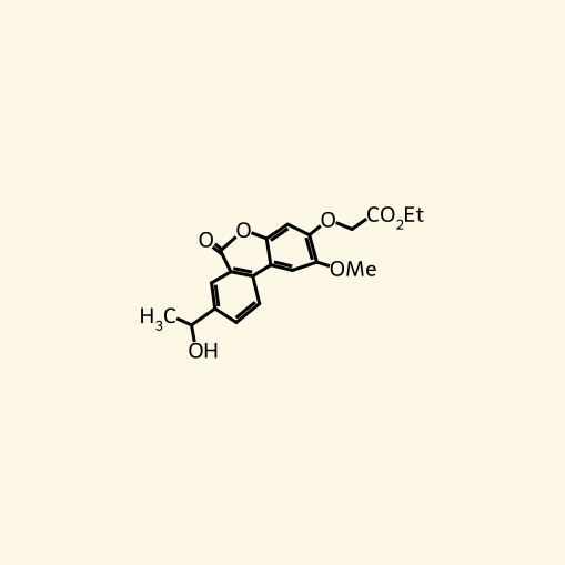 CCOC(=O)COc1cc2oc(=O)c3cc(C(C)O)ccc3c2cc1OC